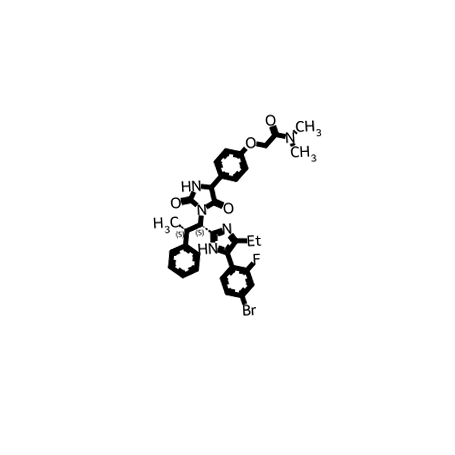 CCc1nc([C@H]([C@@H](C)c2ccccc2)N2C(=O)NC(c3ccc(OCC(=O)N(C)C)cc3)C2=O)[nH]c1-c1ccc(Br)cc1F